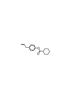 C=CCc1ccc(OC(=O)C2CC[CH]CC2)cc1